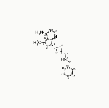 Cc1cn([C@H]2C[C@@H](CNCc3ccccc3)C2)c2ncnc(N)c12